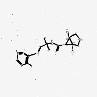 Cc1ccnnc1OCC(C)(C)NC(=O)[C@H]1[C@@H]2CNC[C@@H]21